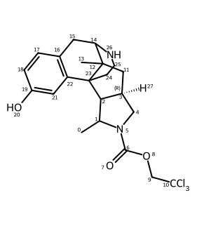 CC1C2[C@H](CN1C(=O)OCC(Cl)(Cl)Cl)CC1(C)C3Cc4ccc(O)cc4C21CCN3